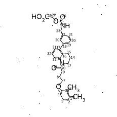 Cc1cccc(OCCCC(=O)N2CCCc3c(-c4cccc(CNC(=O)OCC(=O)O)c4)cccc32)c1C